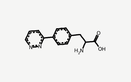 NC(Cc1ccc(-c2cccnn2)cc1)C(=O)O